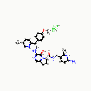 COc1ccc([C@H](CNc2ncc3n(c2=O)[C@H](C(=O)NCc2ccc(N)nc2C)CC3)c2ccc(C)cn2)cc1.Cl.Cl.Cl